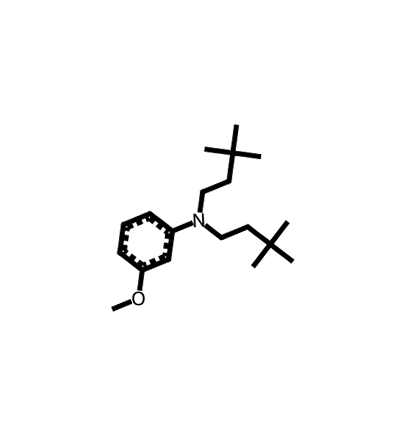 COc1cccc(N(CCC(C)(C)C)CCC(C)(C)C)c1